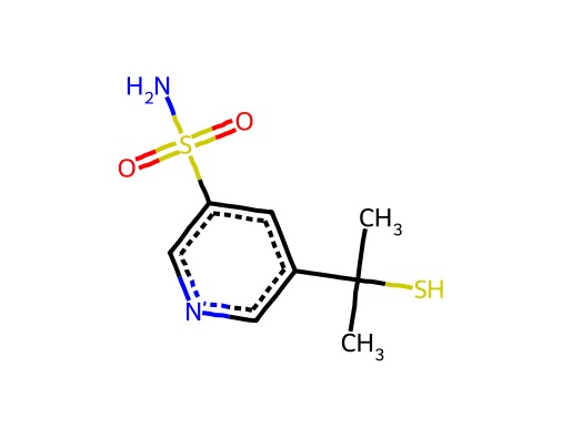 CC(C)(S)c1cncc(S(N)(=O)=O)c1